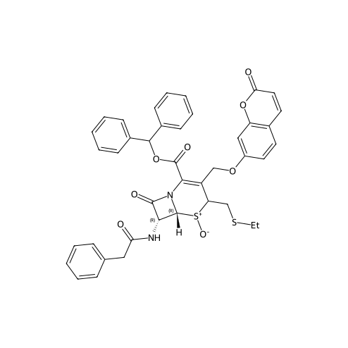 CCSCC1C(COc2ccc3ccc(=O)oc3c2)=C(C(=O)OC(c2ccccc2)c2ccccc2)N2C(=O)[C@@H](NC(=O)Cc3ccccc3)[C@H]2[S+]1[O-]